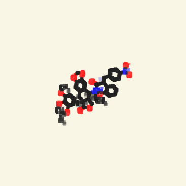 COc1ccccc1/C(=C\c1ccc([N+](=O)[O-])cc1)C(=O)N[C@@H]1c2cc3c(cc2[C@@H](c2cc(OC)c(OC)c(OC)c2)[C@H]2C(=O)OC[C@@H]21)OCO3